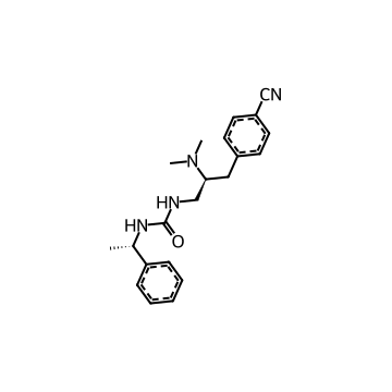 C[C@H](NC(=O)NC[C@H](Cc1ccc(C#N)cc1)N(C)C)c1ccccc1